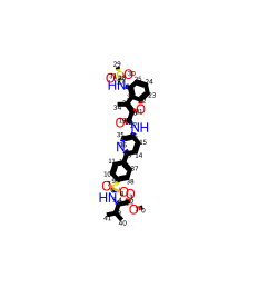 COC(=O)C(NS(=O)(=O)c1ccc(-c2ccc(NC(=O)c3oc4cccc(NS(C)(=O)=O)c4c3C)cn2)cc1)C(C)C